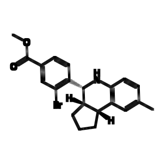 COC(=O)c1ccc([C@@H]2Nc3ccc(C)cc3[C@@H]3CCC[C@@H]32)c(Br)c1